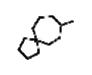 CC1CCC[N+]2(CCCC2)CC1